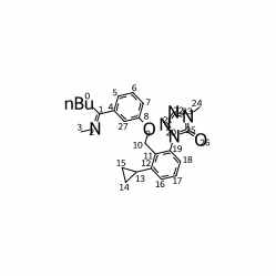 CCCCC(=NC)c1cccc(OCc2c(C3CC3)cccc2-n2nnn(C)c2=O)c1